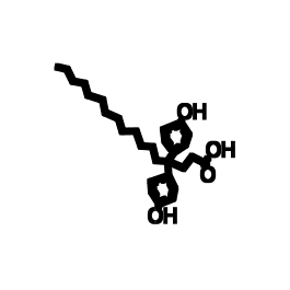 CCCCCCCCCCCCCC(CCC(=O)O)(c1ccc(O)cc1)c1ccc(O)cc1